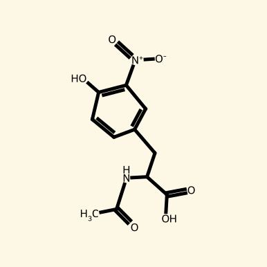 CC(=O)NC(Cc1ccc(O)c([N+](=O)[O-])c1)C(=O)O